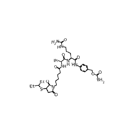 BC(=O)OCc1ccc(NC(=O)[C@H](CCCNC(N)=O)NC(=O)C(NC(=O)CCCCCN2C(=O)CC(SC(CC)CC)C2=O)C(C)C)cc1